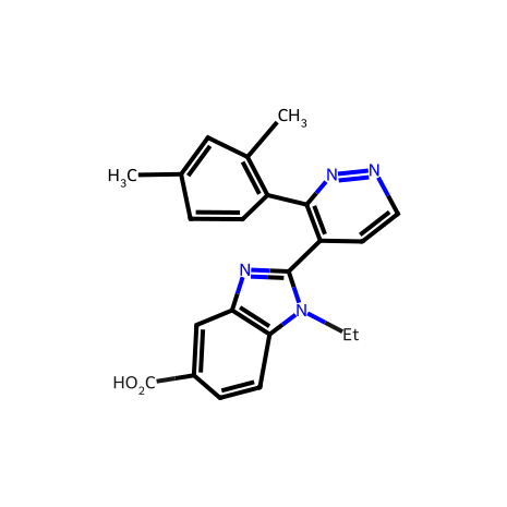 CCn1c(-c2ccnnc2-c2ccc(C)cc2C)nc2cc(C(=O)O)ccc21